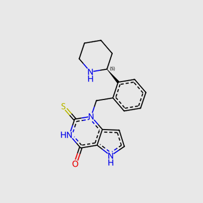 O=c1[nH]c(=S)n(Cc2ccccc2[C@@H]2CCCCN2)c2cc[nH]c12